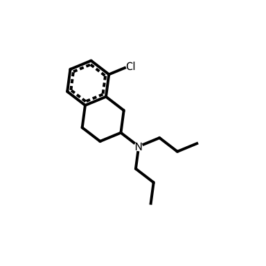 CCCN(CCC)C1CCc2cccc(Cl)c2C1